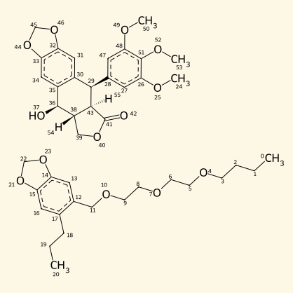 CCCCOCCOCCOCc1cc2c(cc1CCC)OCO2.COc1cc([C@@H]2c3cc4c(cc3[C@H](O)[C@H]3COC(=O)[C@H]23)OCO4)cc(OC)c1OC